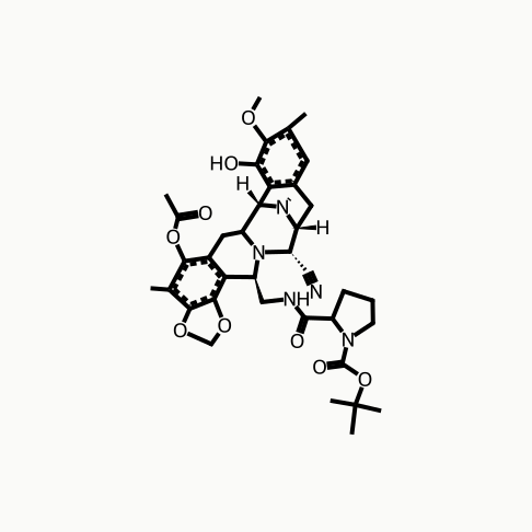 COc1c(C)cc2c(c1O)[C@H]1C3Cc4c(OC(C)=O)c(C)c5c(c4[C@H](CNC(=O)C4CCCN4C(=O)OC(C)(C)C)N3[C@@H](C#N)[C@@H](C2)N1C)OCO5